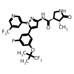 C[C@H]1C(=O)NC[C@@H]1C(=O)Nc1cc(-c2cc(F)cc(OC(C)(C)C(F)(F)F)c2)n(-c2cncc(C(F)(F)F)c2)n1